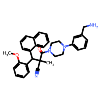 COc1ccccc1C(c1cccc2ccccc12)C(C)(C#N)C(=O)N1CCN(c2cccc(CN)c2)CC1